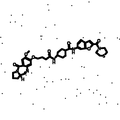 COc1cc2c(cc1OCCCC(=O)NC1CCC(C(=O)Nc3ccc4cc(C(=O)N5CCSCC5)oc4c3)CC1)N=C[C@@H]1CCCN1C2=O